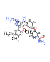 COc1ccc(C(C)C)cc1-c1cc(Nc2ccc(Oc3ccnc(C(N)=O)c3)cc2)nc(N)n1